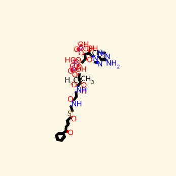 CC(C)(COP(=O)(O)OP(=O)(O)OCC1OC(C)(n2cnc3c(N)ncnc32)C(O)C1OP(=O)(O)O)C(O)C(=O)NCCC(=O)NCCSC(=O)C=CCC(=O)c1ccccc1